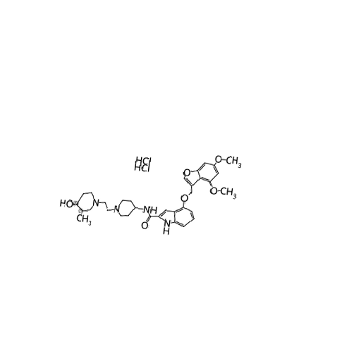 COc1cc(OC)c2c(COc3cccc4[nH]c(C(=O)NC5CCN(CCN6CC[C@H](O)[C@@H](C)C6)CC5)cc34)coc2c1.Cl.Cl